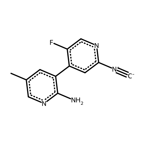 [C-]#[N+]c1cc(-c2cc(C)cnc2N)c(F)cn1